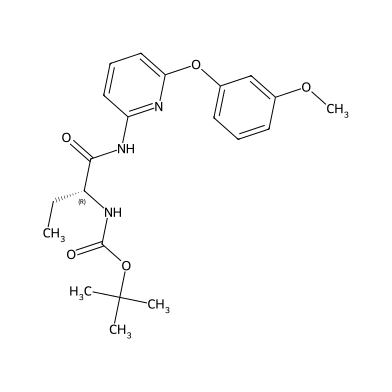 CC[C@@H](NC(=O)OC(C)(C)C)C(=O)Nc1cccc(Oc2cccc(OC)c2)n1